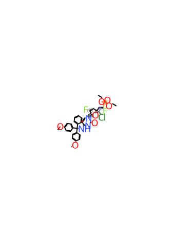 CCOP(=O)(OCC)/C(F)=C/[C@]1(CCl)C[C@@H](F)[C@H](n2ccc(NC(c3ccccc3)(c3ccc(OC)cc3)c3ccc(OC)cc3)nc2=O)O1